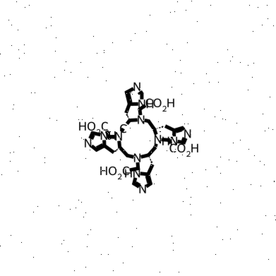 O=C(O)CN1C[C@H](Cc2cnc[nH]2)N(CC(=O)O)C[C@H](Cc2cnc[nH]2)N(CC(=O)O)C[C@H](Cc2cnc[nH]2)N(CC(=O)O)C[C@@H]1Cc1cnc[nH]1